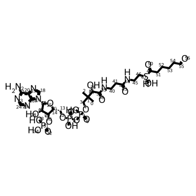 CC(C)(COP(=O)(O)OP(=O)(O)OC[C@H]1O[C@@H](n2cnc3c(N)ncnc32)[C@H](O)[C@@H]1OP(=O)(O)O)[C@@H](O)C(=O)NCCC(=O)NCC[SH](O)C(=O)CCCCC=O